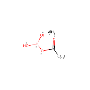 O=C(O)C(=O)OB(O)O.[AlH3]